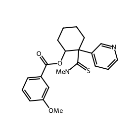 CNC(=S)C1(c2cccnc2)CCCCC1OC(=O)c1cccc(OC)c1